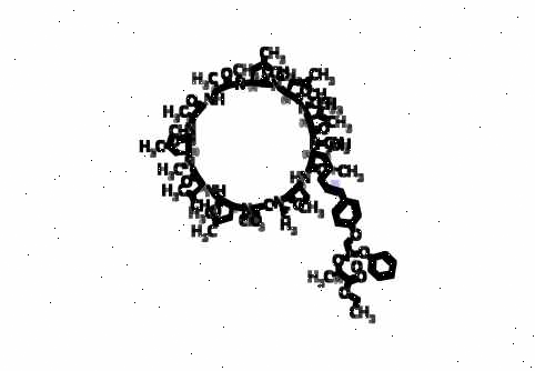 CCOC(=O)[C@@H](C)OP(=O)(COc1ccc(/C=C/C[C@@H](C)[C@@H](O)[C@H]2C(=O)N[C@@H](CC)C(=O)N(C)CC(=O)N(C)[C@@H](CC(C)C)C(=O)N[C@@H](C(C)C)C(=O)N(C)[C@@H](CC(C)C)C(=O)N[C@@H](C)C(=O)N[C@H](C)C(=O)N(C)[C@@H](CC(C)C)C(=O)N(C)[C@@H](CC(C)C)C(=O)N(C)[C@@H](C(C)C)C(=O)N2C)cc1)Oc1ccccc1